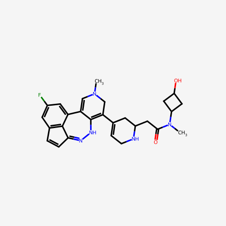 CN1C=C2C(=C(C3=CCNC(CC(=O)N(C)C4CC(O)C4)C3)C1)NN=C1C=Cc3cc(F)cc2c31